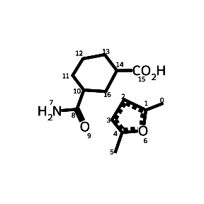 Cc1ccc(C)o1.NC(=O)C1CCCC(C(=O)O)C1